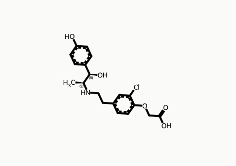 C[C@H](NCCc1ccc(OCC(=O)O)c(Cl)c1)[C@H](O)c1ccc(O)cc1